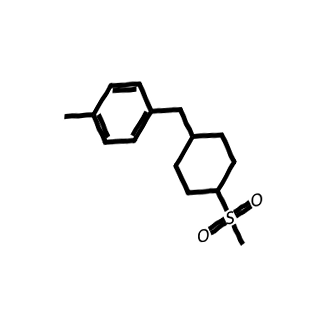 Cc1ccc(CC2CCC(S(C)(=O)=O)CC2)cc1